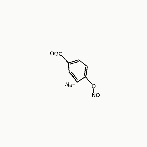 O=NOc1ccc(C(=O)[O-])cc1.[Na+]